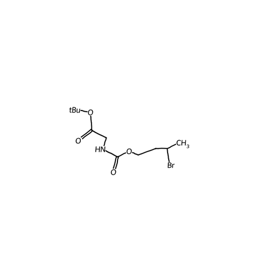 CC(Br)CCOC(=O)NCC(=O)OC(C)(C)C